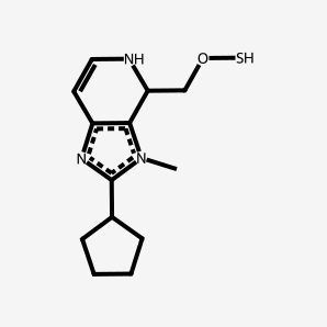 Cn1c(C2CCCC2)nc2c1C(COS)NC=C2